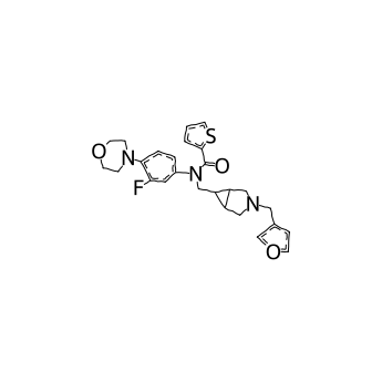 O=C(c1cccs1)N(CC1C2CN(Cc3ccoc3)CC21)c1ccc(N2CCOCC2)c(F)c1